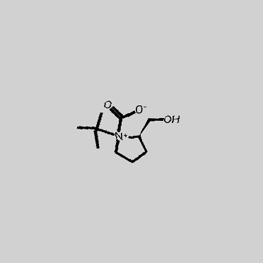 CC(C)(C)[N+]1(C(=O)[O-])CCC[C@@H]1CO